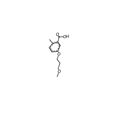 COCCCOc1ccc(C)c(C(=O)O)c1